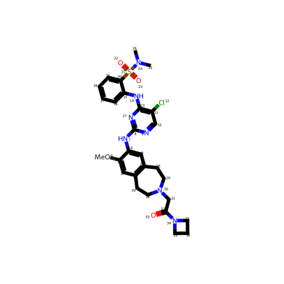 COc1cc2c(cc1Nc1ncc(Cl)c(Nc3ccccc3S(=O)(=O)N(C)C)n1)CCN(CC(=O)N1CCC1)CC2